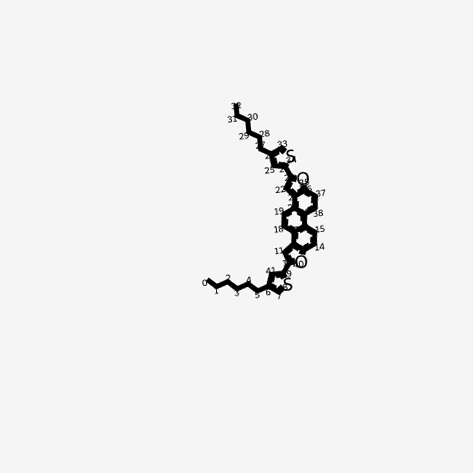 CCCCCCc1csc(-c2cc3c(ccc4c3ccc3c5cc(-c6cc(CCCCCC)cs6)oc5ccc34)o2)c1